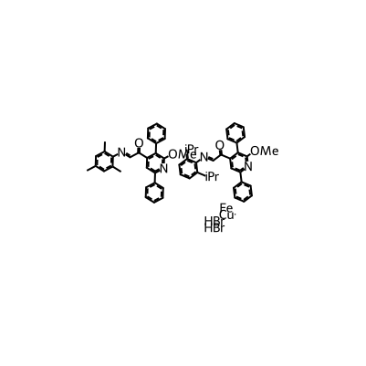 Br.Br.COc1nc(-c2ccccc2)cc(C(=O)C=Nc2c(C(C)C)cccc2C(C)C)c1-c1ccccc1.COc1nc(-c2ccccc2)cc(C(=O)C=Nc2c(C)cc(C)cc2C)c1-c1ccccc1.[Cu].[Fe]